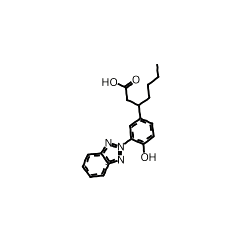 CCCCC(CC(=O)O)c1ccc(O)c(-n2nc3ccccc3n2)c1